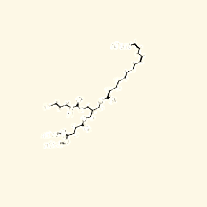 CCCCC/C=C\C/C=C\CCCCCCCC(=O)OCC(COC(=O)CCC(OCCCCCCCC)OCCCCCCCC)COC(=O)NCCCC(C)C